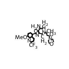 C=C[C@H](N)c1oc(-c2ccc(OC)c3nc(C(F)(F)F)ccc23)nc1C(=C)N[C@@H](C)CC(=O)N1CCOCC1